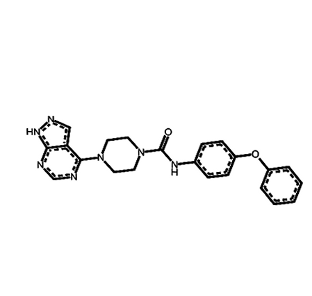 O=C(Nc1ccc(Oc2ccccc2)cc1)N1CCN(c2ncnc3[nH]ncc23)CC1